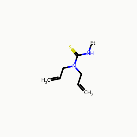 C=CCN(CC=C)C(=S)NCC